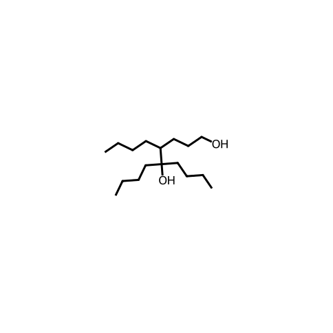 CCCCC(CCCO)C(O)(CCCC)CCCC